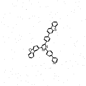 c1cncc(-c2ccc(-c3nc(-c4ccc(-c5ccc6c(c5)sc5ccccc56)cc4)cc(-c4ccc5oc6ccccc6c5c4)n3)cc2)c1